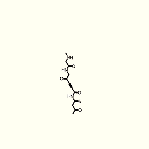 CNCC(=O)NCC(=O)C#CC(=O)NC(=S)CC(C)=O